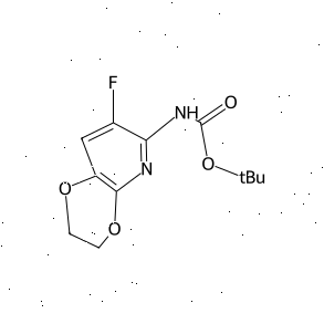 CC(C)(C)OC(=O)Nc1nc2c(cc1F)OCCO2